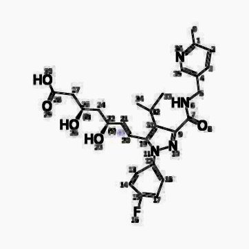 Cc1ccc(CNC(=O)c2nn(-c3ccc(F)cc3)c(/C=C/[C@@H](O)C[C@@H](O)CC(=O)O)c2C(C)C)cn1